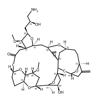 C=C1C[C@@H]2CC3[C@@H]4C[C@@H](O)[C@H](O4)[C@H]4C[C@@H](OC)[C@H]5O[C@H](CC[C@@H]5O4)CC(=O)C[C@@H]4[C@@H](OC)[C@@H](C[C@H](O)CN)O[C@H]4C[C@H]4O[C@@H](CC[C@@H]1O2)C[C@@H]3C4=C